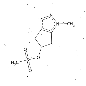 Cn1ncc2c1CC(OS(C)(=O)=O)C2